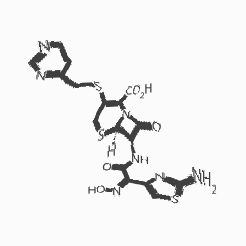 Nc1nc(/C(=N/O)C(=O)N[C@@H]2C(=O)N3C(C(=O)O)=C(SCc4ccncn4)CS[C@H]23)cs1